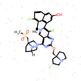 C#Cc1c(F)ccc2cc(O)cc(-c3ncc4c(N5C[C@@H]6CC[C@](CS(C)(=O)=O)(C5)N6)nc(OC[C@@]56CCCN5C[C@H](F)C6)nc4c3F)c12